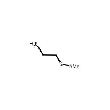 BCCSNC